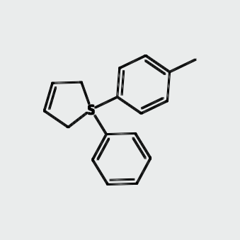 Cc1ccc(S2(c3ccccc3)CC=CC2)cc1